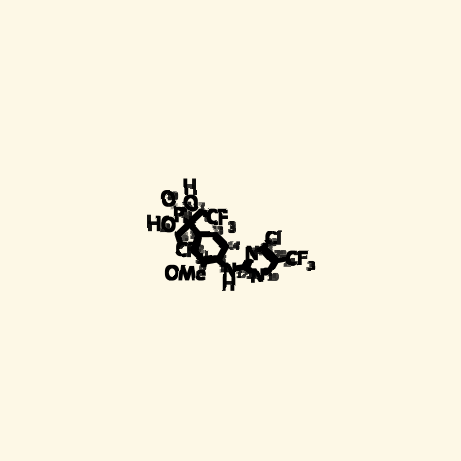 COc1cc(C(CC(F)(F)F)(CC(F)(F)F)P(=O)(O)O)ccc1Nc1ncc(C(F)(F)F)c(Cl)n1